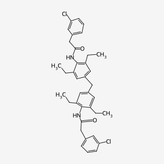 CCc1cc(Cc2cc(CC)c(NC(=O)Cc3cccc(Cl)c3)c(CC)c2)cc(CC)c1NC(=O)Cc1cccc(Cl)c1